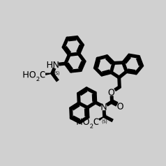 C[C@@H](C(=O)O)N(C(=O)OCC1c2ccccc2-c2ccccc21)c1cccc2ccccc12.C[C@H](Nc1cccc2ccccc12)C(=O)O